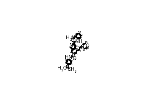 CN(C)c1ccc(NC(=O)N(CCCCN2CCOCC2)Cc2ccc(C(=O)Nc3ccccc3N)nc2)cc1